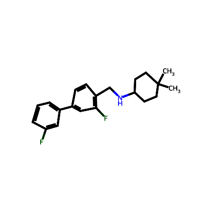 CC1(C)CCC(NCc2ccc(-c3cccc(F)c3)cc2F)CC1